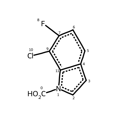 O=C(O)n1ccc2ccc(F)c(Cl)c21